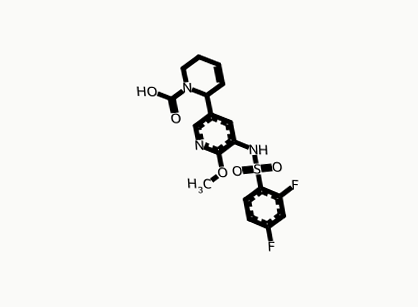 COc1ncc(C2C=CCCN2C(=O)O)cc1NS(=O)(=O)c1ccc(F)cc1F